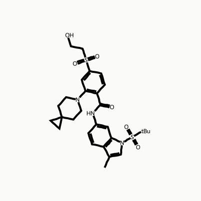 Cc1cn(S(=O)(=O)C(C)(C)C)c2cc(NC(=O)c3ccc(S(=O)(=O)CCO)cc3N3CCC4(CC3)CC4)ccc12